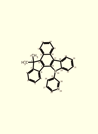 CC1(C)c2ccccc2-c2c1c1ccccc1c1c3ccccc3n(-c3cccnc3)c21